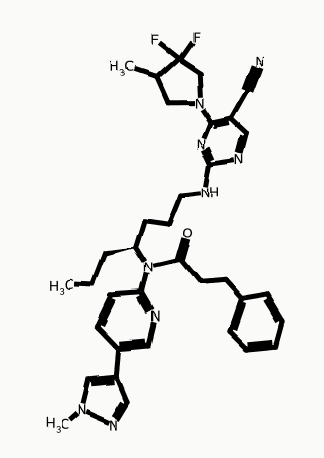 CCC[C@@H](CCCNc1ncc(C#N)c(N2CC(C)C(F)(F)C2)n1)N(C(=O)CCc1ccccc1)c1ccc(-c2cnn(C)c2)cn1